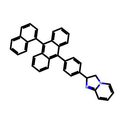 C1=CC2=NC(c3ccc(-c4c5ccccc5c(-c5cccc6ccccc56)c5ccccc45)cc3)CN2C=C1